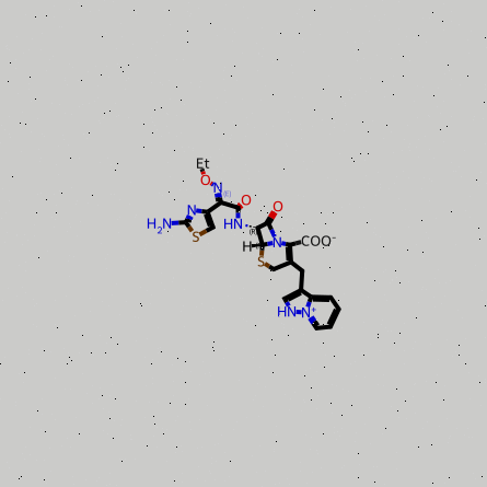 CCO/N=C(/C(=O)N[C@@H]1C(=O)N2C(C(=O)[O-])=C(Cc3c[nH][n+]4ccccc34)CS[C@H]12)c1csc(N)n1